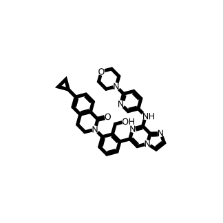 O=C1c2ccc(C3CC3)cc2CCN1c1cccc(-c2cn3ccnc3c(Nc3ccc(N4CCOCC4)nc3)n2)c1CO